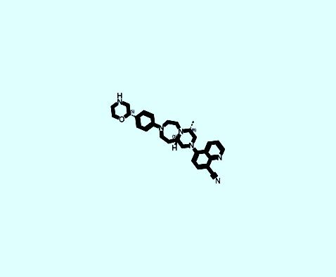 C[C@@H]1CN(c2ccc(C#N)c3ncccc23)C[C@@H]2CCN(c3ccc([C@H]4CNCCO4)cc3)CCN21